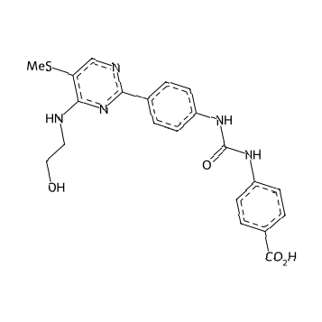 CSc1cnc(-c2ccc(NC(=O)Nc3ccc(C(=O)O)cc3)cc2)nc1NCCO